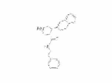 O=C(NCCc1ccccc1)[C@@H]1CNC[C@H]1c1ccc2ccccc2c1